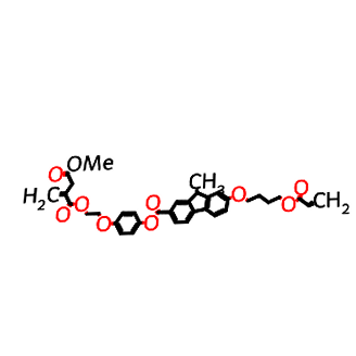 C=CC(=O)OCCCCOc1ccc2c(c1)C(C)c1cc(C(=O)Oc3ccc(OCCOC(=O)C(=C)CC(=O)OC)cc3)ccc1-2